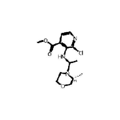 COC(=O)c1ccnc(Cl)c1NC(C)N1CCOC[C@H]1C